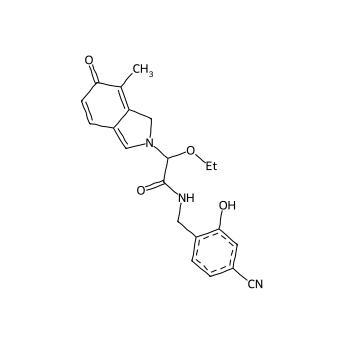 CCOC(C(=O)NCc1ccc(C#N)cc1O)N1C=C2C=CC(=O)C(C)=C2C1